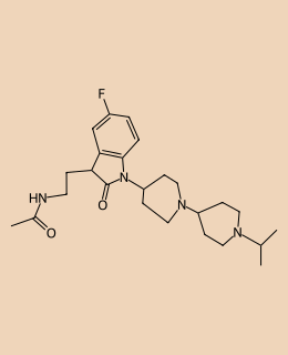 CC(=O)NCCC1C(=O)N(C2CCN(C3CCN(C(C)C)CC3)CC2)c2ccc(F)cc21